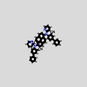 CC1(N(c2ccc(-c3ccccc3)cc2C#N)c2ccc3ccc4c(N(c5ccccn5)c5ccc(-c6ccccc6)cc5C#N)ccc5ccc2c3c54)CCCC=N1